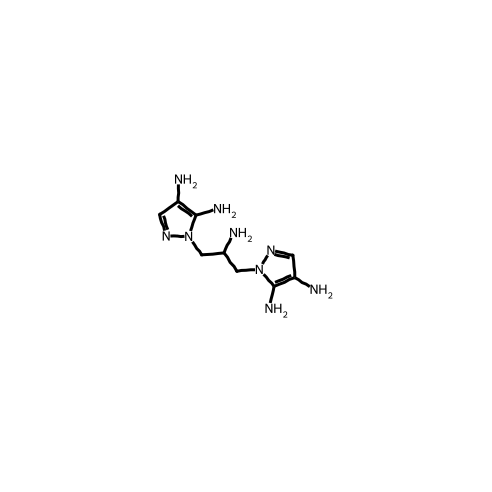 Nc1cnn(CC(N)Cn2ncc(N)c2N)c1N